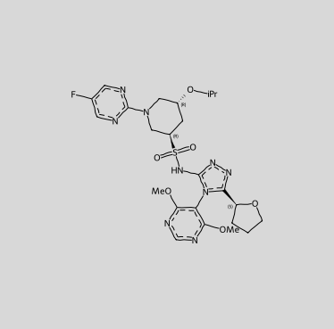 COc1ncnc(OC)c1-n1c(NS(=O)(=O)[C@@H]2C[C@@H](OC(C)C)CN(c3ncc(F)cn3)C2)nnc1[C@@H]1CCCO1